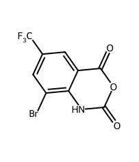 O=c1[nH]c2c(Br)cc(C(F)(F)F)cc2c(=O)o1